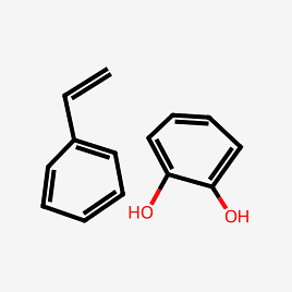 C=Cc1ccccc1.Oc1ccccc1O